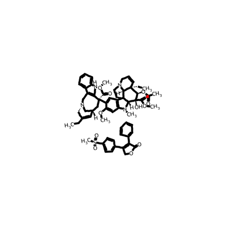 CCC1=C[C@@H]2C[N@](C1)Cc1c([nH]c3ccccc13)[C@@](C(=O)OC)(c1cc3c(cc1OC)N(C)[C@H]1[C@@](O)(C(=O)OC)[C@H](OC(C)=O)[C@]4(CC)C=CCN5CC[C@]31[C@@H]54)C2.CS(=O)(=O)c1ccc(C2=C(c3ccccc3)C(=O)OC2)cc1